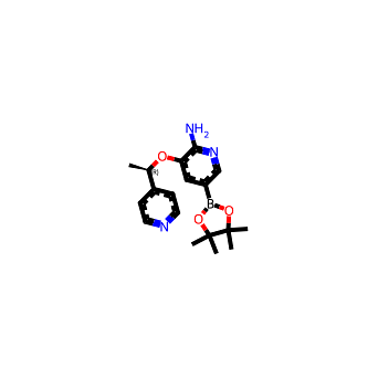 C[C@@H](Oc1cc(B2OC(C)(C)C(C)(C)O2)cnc1N)c1ccncc1